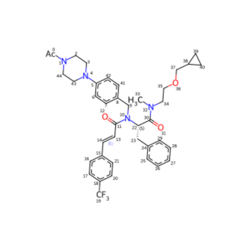 CC(=O)N1CCN(c2ccc(CN(C(=O)/C=C/c3ccc(C(F)(F)F)cc3)[C@@H](Cc3ccccc3)C(=O)N(C)CCOCC3CC3)cc2)CC1